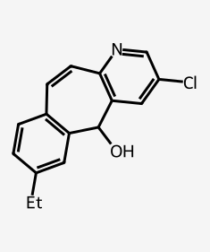 CCc1ccc2c(c1)C(O)c1cc(Cl)cnc1C=C2